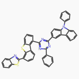 c1ccc(-c2nc(-c3ccc4c(c3)c3ccccc3n4-c3ccccc3)nc(-c3cccc4sc5c(-c6nc7ccccc7s6)cccc5c34)n2)cc1